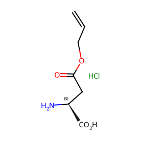 C=CCOC(=O)C[C@H](N)C(=O)O.Cl